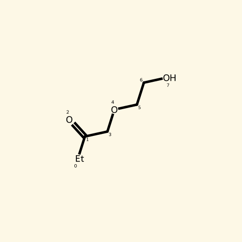 CCC(=O)COCCO